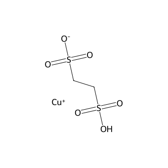 O=S(=O)([O-])CCS(=O)(=O)O.[Cu+]